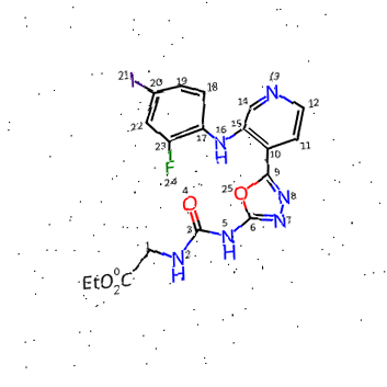 CCOC(=O)CNC(=O)Nc1nnc(-c2ccncc2Nc2ccc(I)cc2F)o1